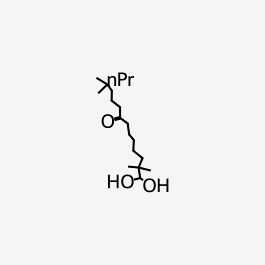 CCCC(C)(C)CCCC(=O)CCCCCC(C)(C)C(O)O